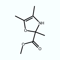 COC(=O)C1(C)NC(C)=C(C)O1